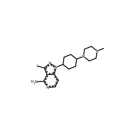 CN1CCN(C2CCC(n3nc(I)c4c(N)nccc43)CC2)CC1